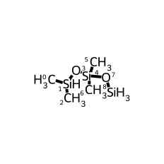 C[SiH](C)O[Si](C)(C)O[SiH3]